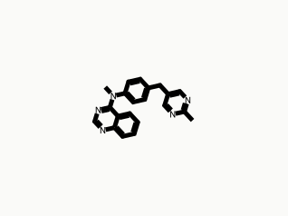 Cc1ncc(Cc2ccc(N(C)c3ncnc4ccccc34)cc2)cn1